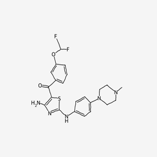 CN1CCN(c2ccc(Nc3nc(N)c(C(=O)c4cccc(OC(F)F)c4)s3)cc2)CC1